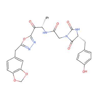 CC(C)[C@H](NC(=O)CN1C(=O)N[C@H](Cc2ccc(O)cc2)C1=O)C(=O)c1nnc(Cc2ccc3c(c2)OCO3)o1